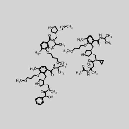 CNC[C@H]1CNC[C@H]1CN(C(=O)c1ccc(C)c(OCCCOC)c1)C(C)C.COCCCOc1c(C)ccc(C(=O)NC(C)C)c1C[C@@H]1CNC[C@H]1CN(C(=O)CC(C)(C)NC(C)=O)C1CC1.COCCCOc1c(C)ccc(C(=O)NC(C)C)c1C[C@@H]1CNC[C@H]1CN(C)C(=O)[C@@H](O)c1ccccc1